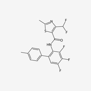 Cc1ccc(-c2cc(F)c(F)c(F)c2NC(=O)c2sc(C)nc2C(F)F)cc1